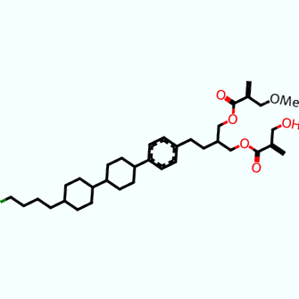 C=C(CO)C(=O)OCC(CCc1ccc(C2CCC(C3CCC(CCCCF)CC3)CC2)cc1)COC(=O)C(=C)COC